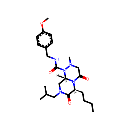 CCCC[C@H]1C(=O)N(CC(C)C)C[C@H]2N1C(=O)CN(C)N2C(=O)NCc1ccc(OC)cc1